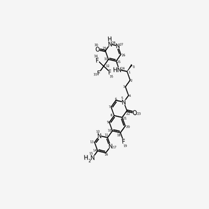 C[C@@H](CCCn1ccc2cc(-c3ncc(N)cn3)c(F)cc2c1=O)Nc1cn[nH]c(=O)c1C(F)(F)F